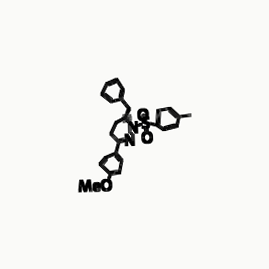 COc1ccc(C2=NN(S(=O)(=O)c3ccc(C)cc3)[C@H](Cc3ccccc3)CC2)cc1